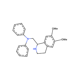 COc1cc2c(cc1OC)C(CN(c1ccccc1)c1ccccc1)NCC2